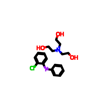 Clc1ccccc1[I+]c1ccccc1.OCCN(CCO)CCO